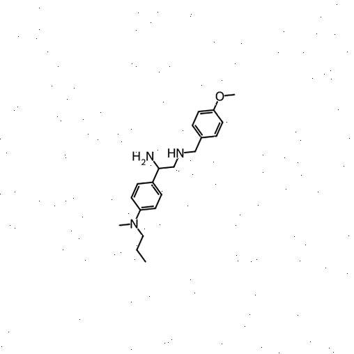 CCCN(C)c1ccc(C(N)CNCc2ccc(OC)cc2)cc1